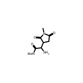 CNC(=O)C(N)C1CC(=O)N(C)C1=O